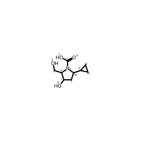 O=C(O)N1C(CO)C(O)CC1C1CC1